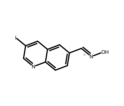 O/N=C/c1ccc2ncc(I)cc2c1